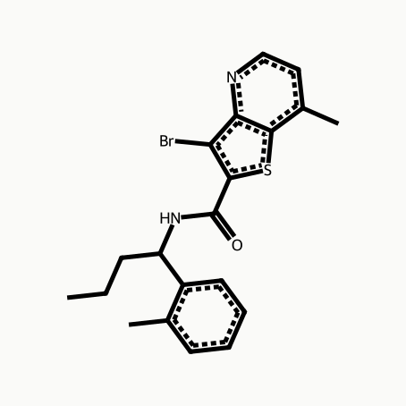 CCCC(NC(=O)c1sc2c(C)ccnc2c1Br)c1ccccc1C